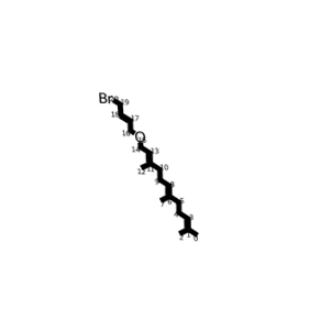 CC(C)=CCC/C(C)=C/CC/C(C)=C/COC/C=C/CBr